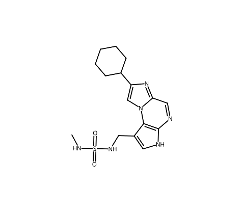 CNS(=O)(=O)NCc1c[nH]c2ncc3nc(C4CCCCC4)cn3c12